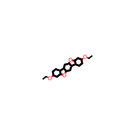 CCOc1ccc2c(c1)oc1cc3c(cc12)oc1cc(OCC)ccc13